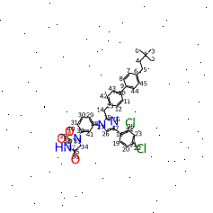 CC(C)(C)CCc1ccc(-c2ccc(Cc3nc(-c4ccc(Cl)cc4Cl)cn3-c3cccc(N4CC(=O)NS4(=O)=O)c3)cc2)cc1